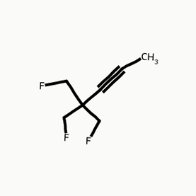 CC#CC(CF)(CF)CF